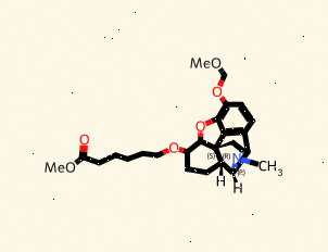 COCOc1ccc2c3c1OC1C(OCCCCCC(=O)OC)CC[C@H]4[C@@H](C2)N(C)CC[C@]314